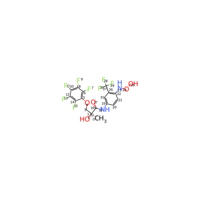 C[C@](O)(COc1c(F)c(F)c(F)c(F)c1F)C(=O)Nc1ccc(NOO)c(C(F)(F)F)c1